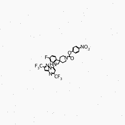 O=C(Oc1ccc([N+](=O)[O-])cc1)N1CCC(CNc2cc(C(F)(F)F)nc3cc(C(F)(F)F)nn23)(c2ccc(F)cc2)CC1